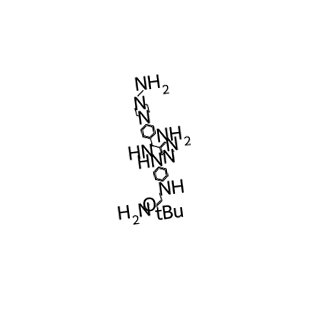 CC(C)(C)/C(=C/CNc1ccc(Nc2ncnc(N)c2C(=N)c2ccc(N3CCN(CCN)CC3)cc2)cc1)ON